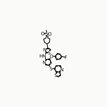 CS(=O)(=O)N1CCC(c2csc(Nc3ncc(Sc4ccnc5ccsc45)cc3Oc3ccc(F)cc3)n2)CC1